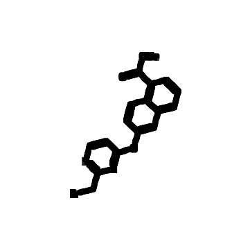 COC(=O)c1cccc2cc(Oc3ccnc(CBr)n3)ccc12